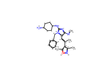 C=Nc1nc(NC2CCC(N)CC2)n(Cc2ccccc2)c1/C=C(\C)c1c(C)noc1C